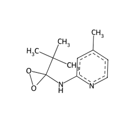 Cc1ccnc(NC2(C(C)(C)C)OO2)c1